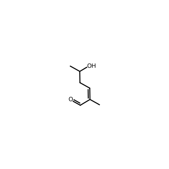 CC(C=O)=CCC(C)O